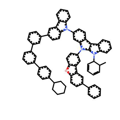 CC1C=CC=CC1n1c2ccccc2c2c3ccc(-n4c5ccccc5c5cc(-c6cccc(-c7cccc(-c8ccc(C9CCCCC9)cc8)c7)c6)ccc54)cc3n(-c3ccc4oc5ccc(-c6ccccc6)cc5c4c3)c21